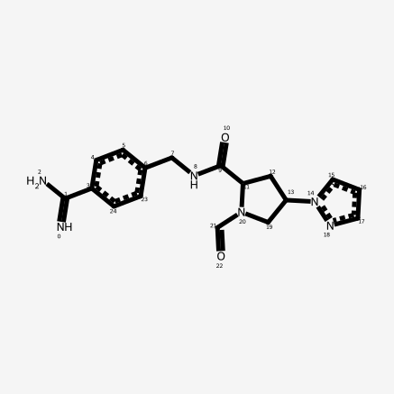 N=C(N)c1ccc(CNC(=O)C2CC(n3cccn3)CN2C=O)cc1